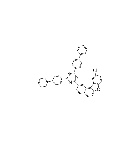 Clc1ccc2oc3ccc4ccc(-c5nc(-c6ccc(-c7ccccc7)cc6)nc(-c6ccc(-c7ccccc7)cc6)n5)cc4c3c2c1